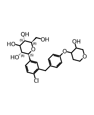 OC[C@H]1O[C@@H](c2ccc(Cl)c(Cc3ccc(OC4CCOCC4O)cc3)c2)[C@H](O)C(O)[C@@H]1O